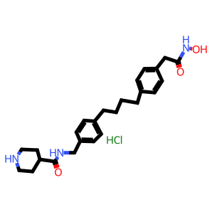 Cl.O=C(Cc1ccc(CCCCc2ccc(CNC(=O)C3CCNCC3)cc2)cc1)NO